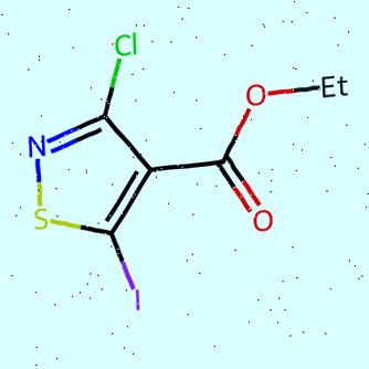 CCOC(=O)c1c(Cl)nsc1I